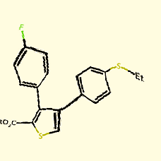 CCOC(=O)c1scc(-c2ccc(SCC)cc2)c1-c1ccc(F)cc1